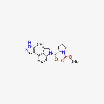 CC(C)(C)OC(=O)N1CCC[C@H]1C(=O)N1CCc2c(-c3cn[nH]c3C(F)(F)F)cccc21